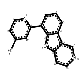 CCc1ccnc(-c2cccc3c2oc2ccncc23)c1